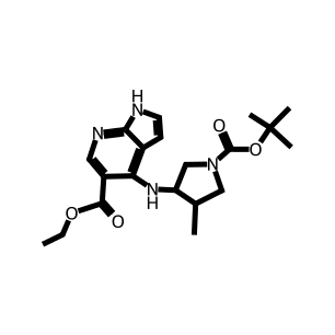 CCOC(=O)c1cnc2[nH]ccc2c1NC1CN(C(=O)OC(C)(C)C)CC1C